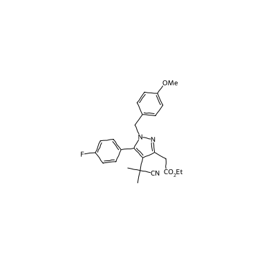 CCOC(=O)Cc1nn(Cc2ccc(OC)cc2)c(-c2ccc(F)cc2)c1C(C)(C)C#N